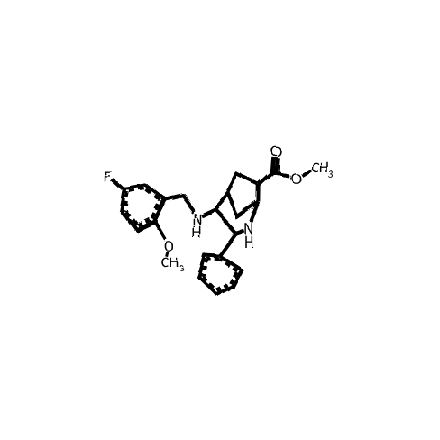 COC(=O)C1CC2CC1NC(c1ccccc1)C2NCc1cc(F)ccc1OC